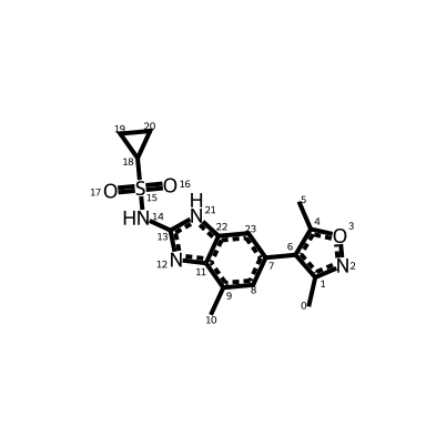 Cc1noc(C)c1-c1cc(C)c2nc(NS(=O)(=O)C3CC3)[nH]c2c1